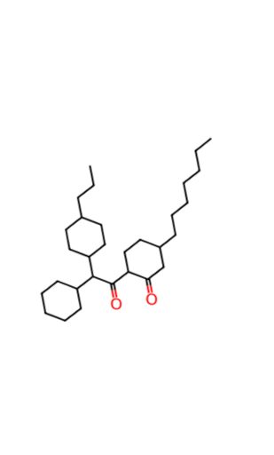 CCCCCCCC1CCC(C(=O)C(C2CCCCC2)C2CCC(CCC)CC2)C(=O)C1